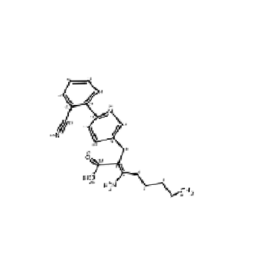 CCCCC/C(N)=C(\Cc1ccc(-c2ccccc2C#N)nc1)C(=O)O